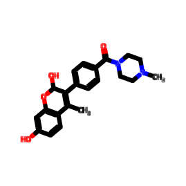 CC1=C(c2ccc(C(=O)N3CCN(C)CC3)cc2)C(O)Oc2cc(O)ccc21